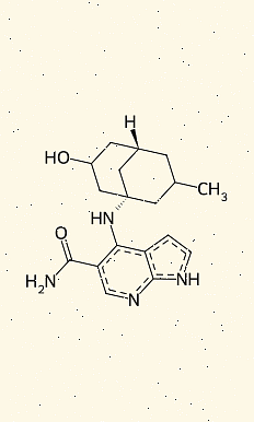 CC1C[C@H]2CC(O)C[C@](Nc3c(C(N)=O)cnc4[nH]ccc34)(C1)C2